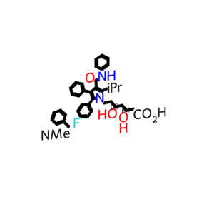 CC(C)c1c(C(=O)Nc2ccccc2)c(-c2ccccc2)c(-c2ccc(F)cc2)n1CC[C@@H](O)C[C@@H](O)CC(=O)O.CNCc1ccccc1